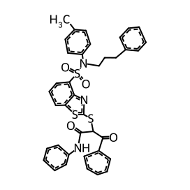 Cc1ccc(N(CCCc2ccccc2)S(=O)(=O)c2cccc3sc(SC(C(=O)Nc4ccccc4)C(=O)c4ccccc4)nc23)cc1